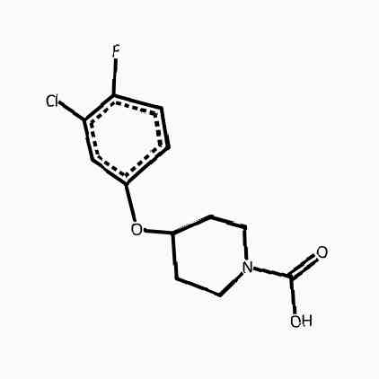 O=C(O)N1CCC(Oc2ccc(F)c(Cl)c2)CC1